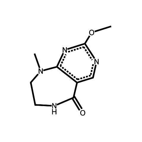 COc1ncc2c(n1)N(C)CCNC2=O